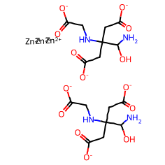 NC(O)C(CC(=O)[O-])(CC(=O)[O-])NCC(=O)[O-].NC(O)C(CC(=O)[O-])(CC(=O)[O-])NCC(=O)[O-].[Zn+2].[Zn+2].[Zn+2]